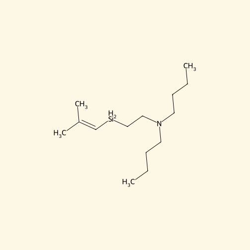 CCCCN(CCCC)CC[SiH2]C=C(C)C